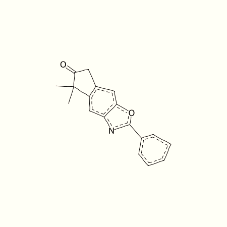 CC1(C)C(=O)Cc2cc3oc(-c4ccccc4)nc3cc21